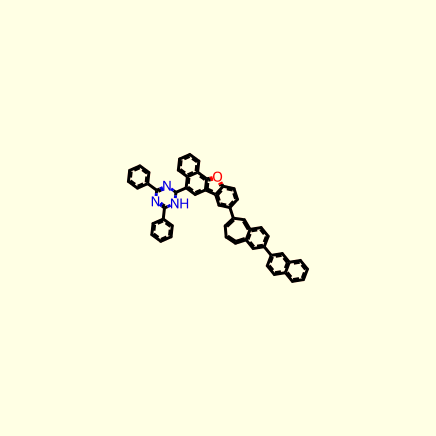 C1=CC=C(c2ccc3oc4c5ccccc5c(C5N=C(c6ccccc6)N=C(c6ccccc6)N5)cc4c3c2)C=c2ccc(-c3ccc4ccccc4c3)cc2=1